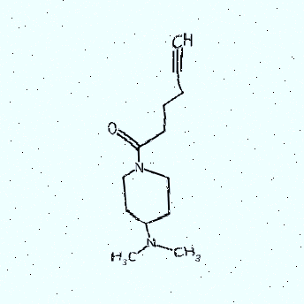 C#CCCCC(=O)N1CCC(N(C)C)CC1